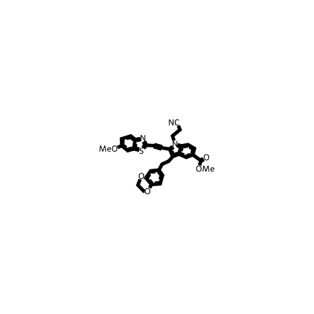 COC(=O)c1ccc2c(c1)c(CCc1ccc3c(c1)OCCO3)c(C#Cc1nc3ccc(OC)cc3s1)n2CCC#N